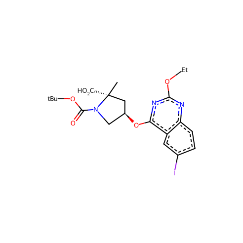 CCOc1nc(O[C@H]2CN(C(=O)OC(C)(C)C)[C@](C)(C(=O)O)C2)c2cc(I)ccc2n1